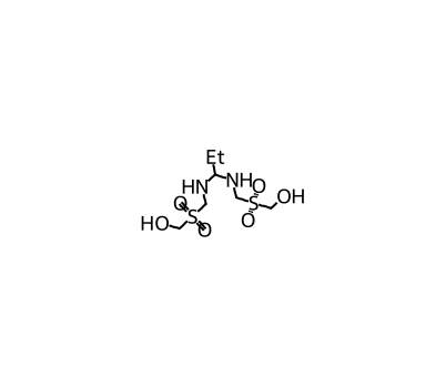 CCC(NCS(=O)(=O)CO)NCS(=O)(=O)CO